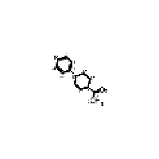 CC(=O)[C@H]1CC[C@H](c2ccccc2)CC1